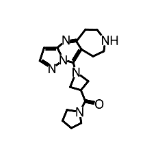 O=C(C1CN(c2c3c(nc4ccnn24)CCNCC3)C1)N1CCCC1